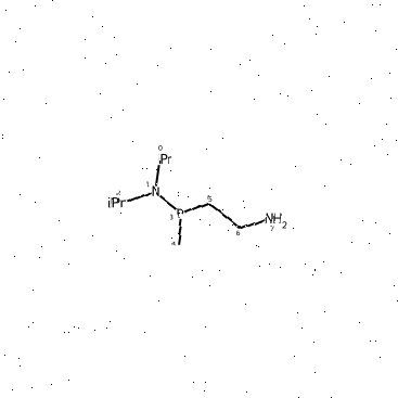 CC(C)N(C(C)C)P(C)CCN